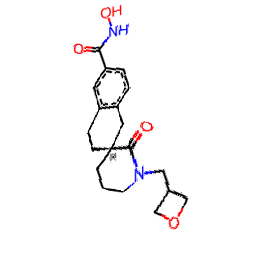 O=C(NO)c1ccc2c(c1)CC[C@@]1(CCCN(CC3COC3)C1=O)C2